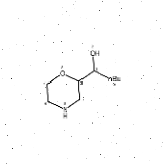 CCCCC(O)C1CNCCO1